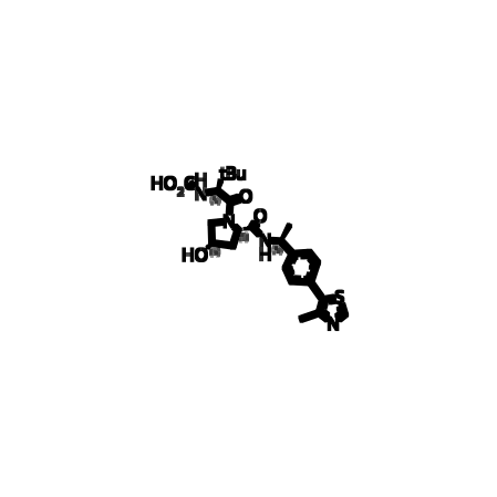 Cc1ncsc1-c1ccc([C@H](C)NC(=O)[C@@H]2C[C@H](O)CN2C(=O)[C@@H](NC(=O)O)C(C)(C)C)cc1